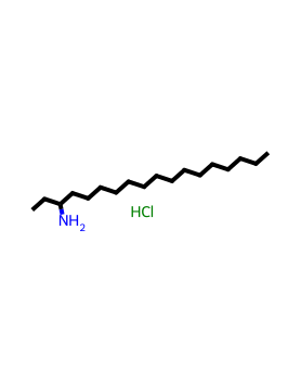 CCCCCCCCCCCCCCCC(N)CC.Cl